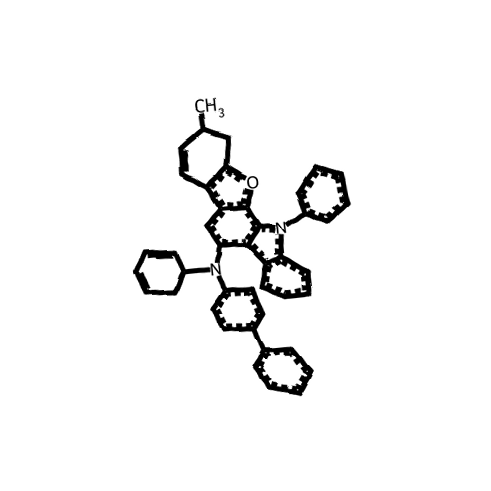 CC1C=Cc2c(oc3c2cc(N(c2ccc(-c4ccccc4)cc2)C2C=CC=CC2)c2c4ccccc4n(-c4ccccc4)c32)C1